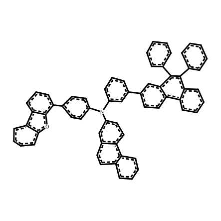 c1ccc(-c2c(-c3ccccc3)c3cc(-c4cccc(N(c5ccc(-c6cccc7c6oc6ccccc67)cc5)c5ccc6c(ccc7ccccc76)c5)c4)ccc3c3ccccc23)cc1